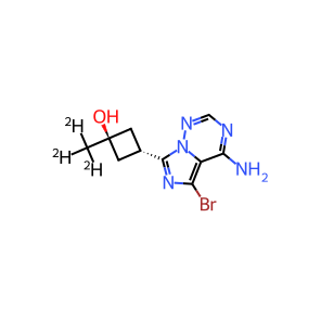 [2H]C([2H])([2H])[C@]1(O)C[C@H](c2nc(Br)c3c(N)ncnn32)C1